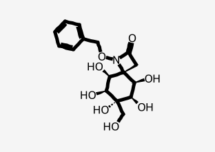 O=C1C[C@@]2([C@H](O)[C@H](O)[C@](O)(CO)[C@H](O)[C@@H]2O)N1OCc1ccccc1